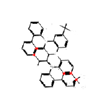 CC1CC=C2C3B(c4ccc(C(C)(C)C)cc4N2c2ccccc2-c2ccccc2)c2ccc(C(C)(C)C)cc2N(c2ccccc2-c2ccccc2)C13C